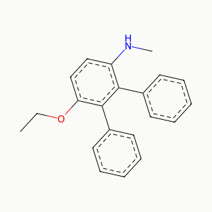 CCOc1ccc(NC)c(-c2ccccc2)c1-c1ccccc1